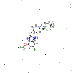 Fc1cc(OC(F)F)c2nc(CC3CCN(CC4(F)CCC(F)(F)CC4)CC3)[nH]c2c1